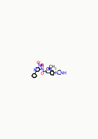 C=Nc1cc(N2CCNCC2)ccc1/C=C(\C)C(=O)Nc1cc(-c2ccccc2)ncc1[N+](=O)[O-]